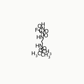 CC(C)(C)OC(=O)NCCCNC(=O)n1cc(F)c(=O)[nH]c1=O